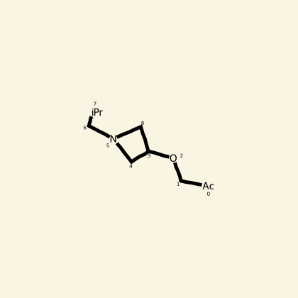 CC(=O)COC1CN(CC(C)C)C1